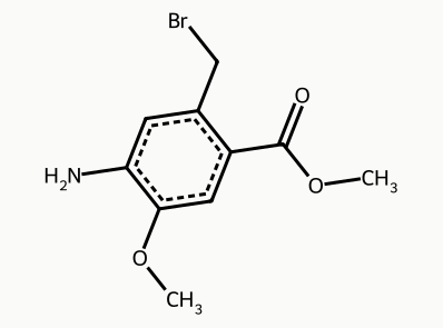 COC(=O)c1cc(OC)c(N)cc1CBr